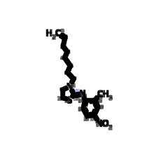 C=CCCCCCCN1CCS/C1=N\c1ccc([N+](=O)[O-])cc1C